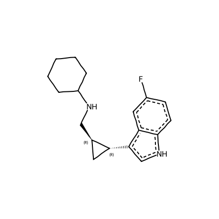 Fc1ccc2[nH]cc([C@@H]3C[C@H]3CNC3CCCCC3)c2c1